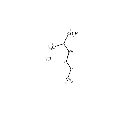 CC(NCCN)C(=O)O.Cl